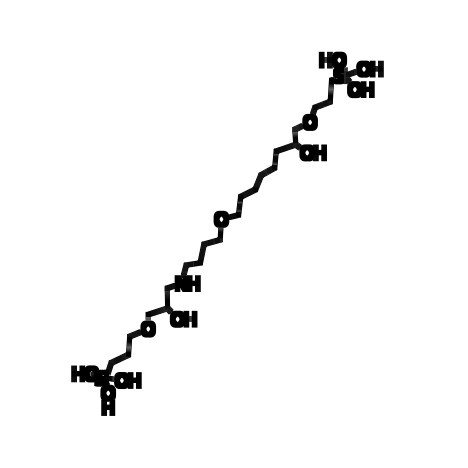 OC(CCCCCCOCCCCNCC(O)COCCC[Si](O)(O)O)COCCC[Si](O)(O)O